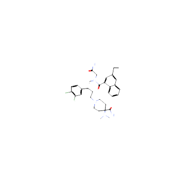 CCc1cc(C(=O)N(CC(N)=O)C[C@@H](CCN2CCC(C(N)=O)(N(C)C)CC2)c2ccc(Cl)c(Cl)c2)c2ccccc2c1